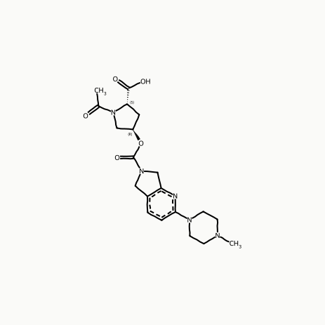 CC(=O)N1C[C@H](OC(=O)N2Cc3ccc(N4CCN(C)CC4)nc3C2)C[C@H]1C(=O)O